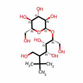 CC(C)(C)C(CO)[C@@H](O)[C@H](O)[C@@H](CO)O[C@H]1O[C@H](CO)[C@@H](O)[C@H](O)[C@H]1O